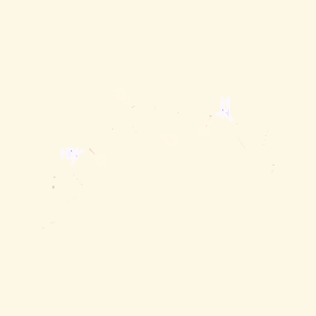 C=Cc1ccc(NC(=O)CC(C)(C)C2=C(C)C(=O)C(C(C)(C)CC(=O)Nc3ccc(C=C)cc3)=C(C)C2=O)cc1